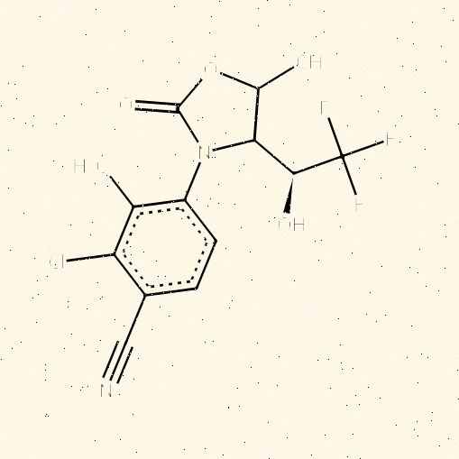 Cc1c(N2C(=O)OC(C)C2[C@H](O)C(F)(F)F)ccc(C#N)c1Cl